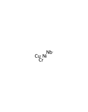 [Cr].[Cu].[Nb].[Ni]